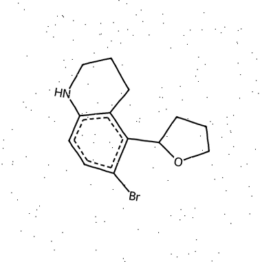 Brc1ccc2c(c1C1CCCO1)CCCN2